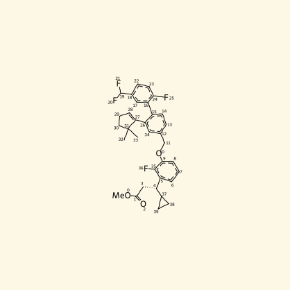 COC(=O)C[C@H](c1cccc(OCc2ccc(-c3cc(C(F)F)ccc3F)c(C3=CCCC3(C)C)c2)c1F)C1CC1